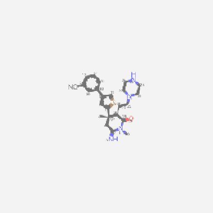 CN1C(=N)C[C@](C)(c2cc(-c3cccc(C#N)c3)cs2)[C@@H](CCN2CCNCC2)C1=O